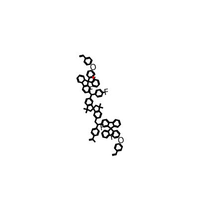 C=Cc1ccc(Oc2ccc(C3(c4c(F)cccc4F)c4ccccc4-c4ccc(C(Cc5ccc6c(c5)C5(CC6(C)C)CC(C)(C)c6ccc(C(c7ccc(F)cc7)c7ccc8c(c7)C(c7ccc(Oc9ccc(C=C)cc9)cc7)(c7c(F)cccc7F)C7C=CC=CC87)cc65)c5ccc(C(=C)C)cc5)cc43)cc2)cc1